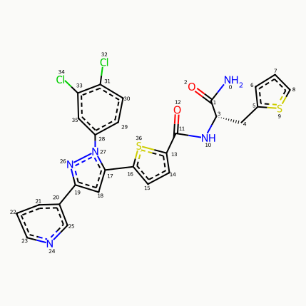 NC(=O)[C@H](Cc1cccs1)NC(=O)c1ccc(-c2cc(-c3cccnc3)nn2-c2ccc(Cl)c(Cl)c2)s1